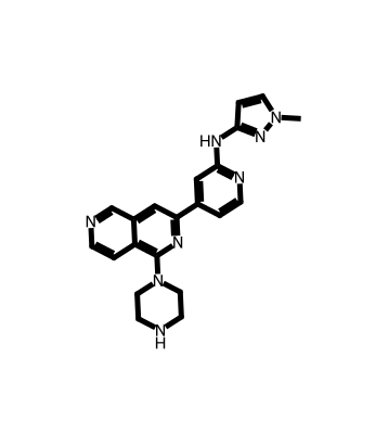 Cn1ccc(Nc2cc(-c3cc4cnccc4c(N4CCNCC4)n3)ccn2)n1